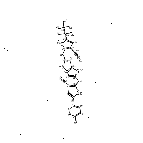 Cc1ccc(-c2cc(C#N)c(Cc3cc4sc(Cc5sc([Si](C)(C)C(C)(C)C)cc5C#N)cc4s3)s2)cc1